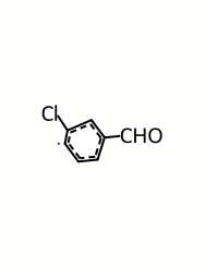 O=Cc1cc[c]c(Cl)c1